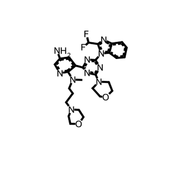 CN(CCCN1CCOCC1)c1ncc(N)cc1-c1nc(N2CCOCC2)nc(-n2c(C(F)F)nc3ccccc32)n1